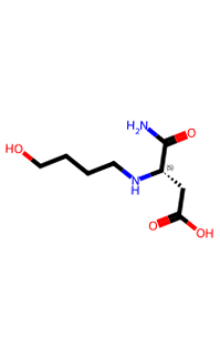 NC(=O)[C@H](CC(=O)O)NCCCCO